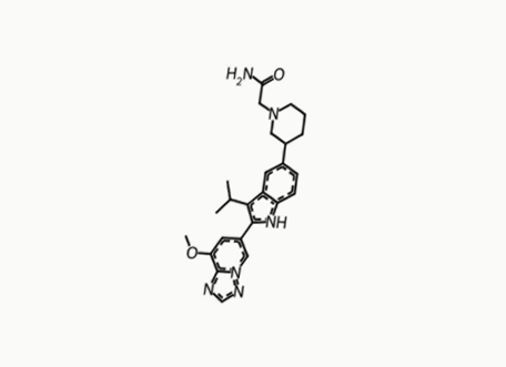 COc1cc(-c2[nH]c3ccc(C4CCCN(CC(N)=O)C4)cc3c2C(C)C)cn2ncnc12